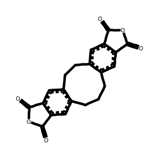 O=C1OC(=O)c2cc3c(cc21)CCCc1cc2c(cc1CC3)C(=O)OC2=O